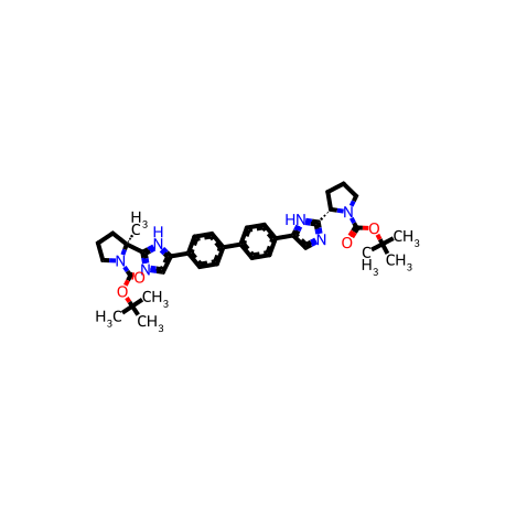 CC(C)(C)OC(=O)N1CCC[C@H]1c1ncc(-c2ccc(-c3ccc(-c4cnc([C@]5(C)CCCN5C(=O)OC(C)(C)C)[nH]4)cc3)cc2)[nH]1